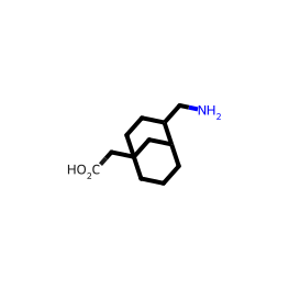 NCC1CCC2(CC(=O)O)CCCC1C2